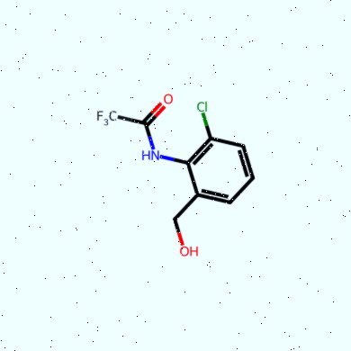 O=C(Nc1c(Cl)cccc1CO)C(F)(F)F